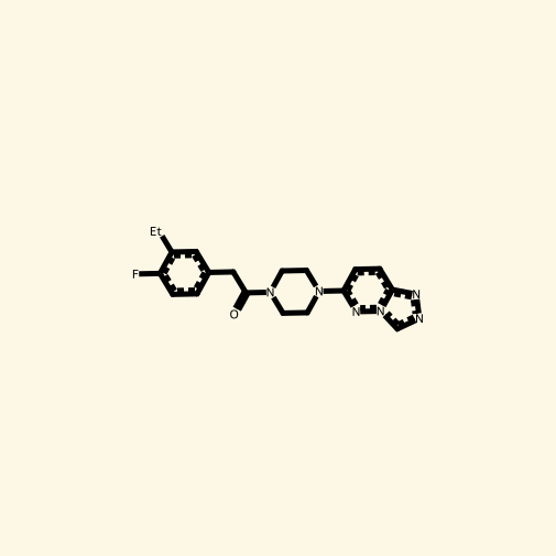 CCc1cc(CC(=O)N2CCN(c3ccc4nncn4n3)CC2)ccc1F